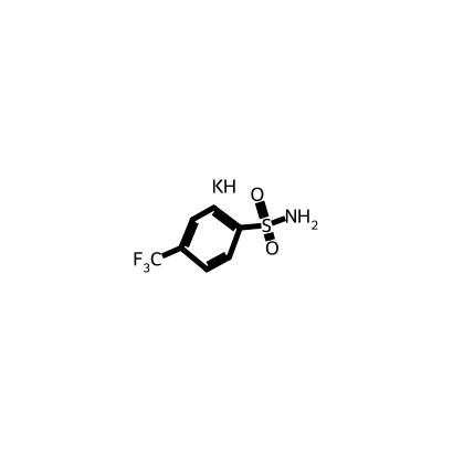 NS(=O)(=O)c1ccc(C(F)(F)F)cc1.[KH]